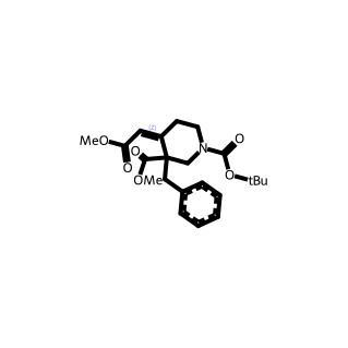 COC(=O)/C=C1/CCN(C(=O)OC(C)(C)C)CC1(Cc1ccccc1)C(=O)OC